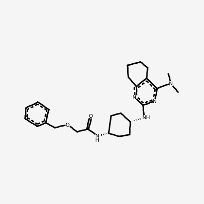 CN(C)c1nc(N[C@H]2CC[C@@H](NC(=O)COCc3ccccc3)CC2)nc2c1CCCC2